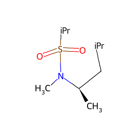 CC(C)C[C@@H](C)N(C)S(=O)(=O)C(C)C